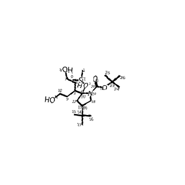 C[SiH](C)O[C@]1(C(CCO)CCO)C[C@H](C(C)(C)C)CN1C(=O)OC(C)(C)C